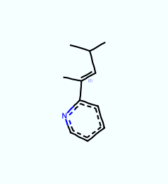 C/C(=C\C(C)C)c1ccccn1